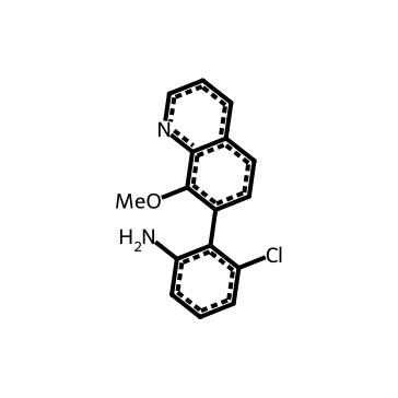 COc1c(-c2c(N)cccc2Cl)ccc2cccnc12